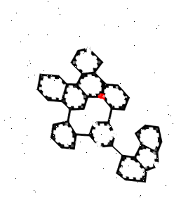 c1ccc(-c2nc(-c3ccccc3-c3cc4ccc5cnccc5c4c4ccccc34)nc(-c3cccc4sc5ccccc5c34)n2)cc1